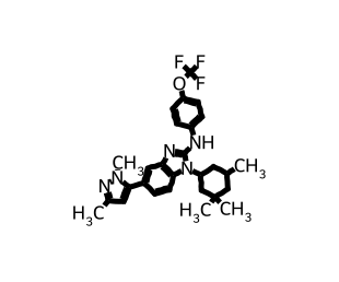 Cc1cc(-c2ccc3c(c2)nc(Nc2ccc(OC(F)(F)F)cc2)n3C2CC(C)CC(C)(C)C2)n(C)n1